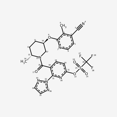 Cc1c(C#N)ccnc1O[C@@H]1CC[C@@H](C)N(C(=O)c2ccc(OS(=O)(=O)C(F)(F)F)nc2-n2nccn2)C1